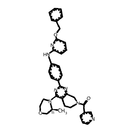 C[C@H]1COCCN1c1nc(-c2ccc(Nc3cccc(OCc4ccccc4)n3)cc2)nc2c1CCN(C(=O)c1cccnc1)C2